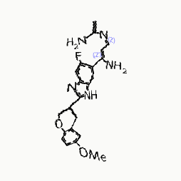 C=C(N)/N=C\C=C(/N)c1cc2[nH]c(C3COc4ccc(OC)cc4C3)nc2cc1F